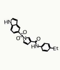 CCc1ccc(NC(=O)c2ccn(S(=O)(=O)c3ccc4[nH]ccc4c3)c2)cc1